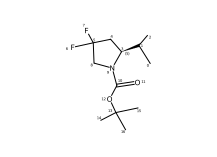 CC(C)[C@@H]1CC(F)(F)CN1C(=O)OC(C)(C)C